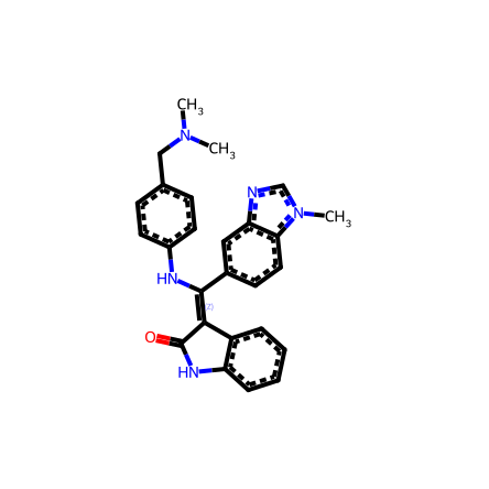 CN(C)Cc1ccc(N/C(=C2\C(=O)Nc3ccccc32)c2ccc3c(c2)ncn3C)cc1